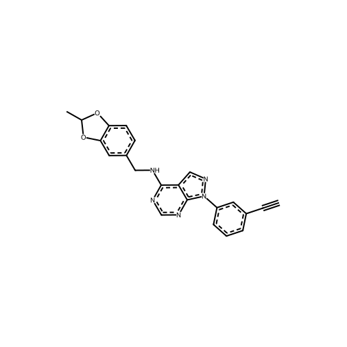 C#Cc1cccc(-n2ncc3c(NCc4ccc5c(c4)OC(C)O5)ncnc32)c1